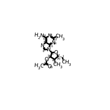 CC[C@H]1OC(n2cnc3c(N)nc(C)nc32)[C@H](OC(C)=O)[C@@H]1C